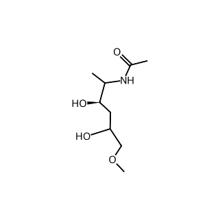 COCC(O)C[C@@H](O)C(C)NC(C)=O